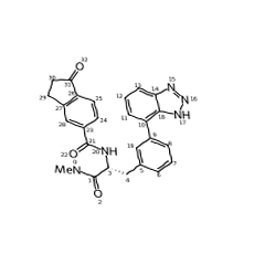 CNC(=O)[C@@H](Cc1cccc(-c2cccc3nn[nH]c23)c1)NC(=O)c1ccc2c(c1)CCC2=O